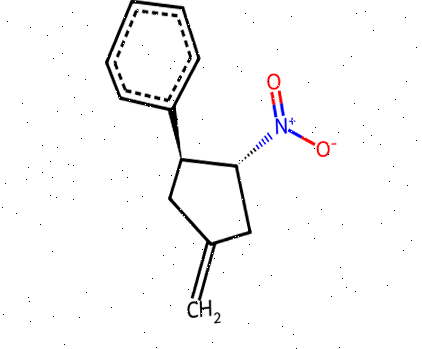 C=C1C[C@@H]([N+](=O)[O-])[C@H](c2ccccc2)C1